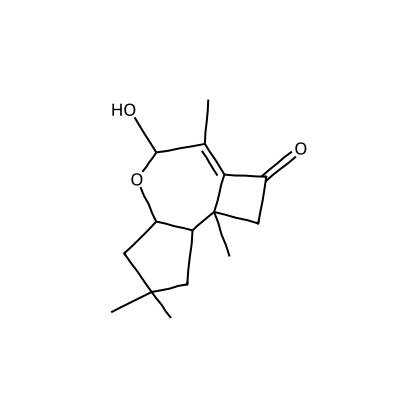 CC1=C2C(=O)CC2(C)C2CC(C)(C)CC2OC1O